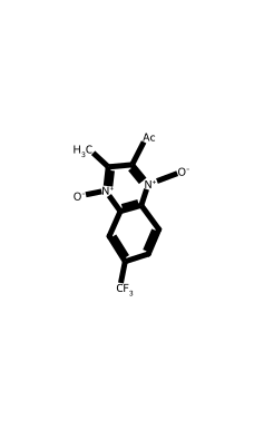 CC(=O)c1c(C)[n+]([O-])c2cc(C(F)(F)F)ccc2[n+]1[O-]